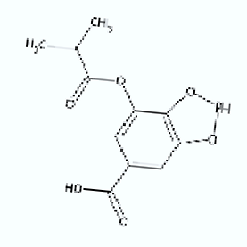 CC(C)C(=O)Oc1cc(C(=O)O)cc2c1OPO2